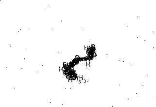 COc1cc(N2CCC(N3CCN(C(=O)CCCCCCNc4ccc5c(c4)C(=O)N(C4CCC(=O)NC4=O)C5=O)CC3)CC2)ccc1Nc1ncc(Cl)c(Nc2ccccc2P(=O)(OC)OC)n1